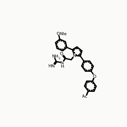 COc1cccc(-c2ccc(-c3ccc(Oc4ccc(C(C)=O)cc4)cc3)n2CC(=O)NC(=N)N)c1